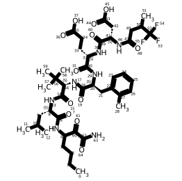 CCCCC(NC(=O)[C@H](CC(C)C)NC(=O)[C@@H](NC(=O)[C@H](Cc1ccccc1C)NC(=O)[C@H](CCC(=O)O)NC(=O)[C@H](CC(=O)O)NC(=O)CC(C)C(F)(F)F)C(C)(C)C)C(=O)C(N)=O